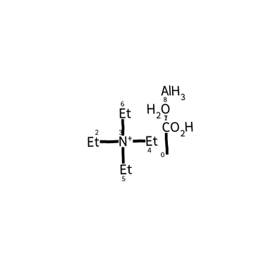 CC(=O)O.CC[N+](CC)(CC)CC.O.[AlH3]